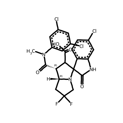 CN(C(=O)[C@@H]1C(C(=O)O)C2(C(=O)Nc3cc(Cl)ccc32)N2CC(F)(F)C[C@H]12)c1cc(Cl)cc(Cl)c1